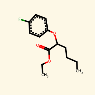 CCCCC(Oc1ccc(F)cc1)C(=O)OCC